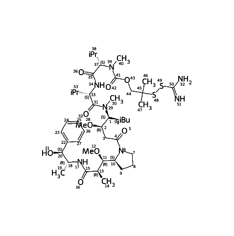 CC[C@H](C)[C@@H]([C@@H](CC(=O)N1CCC[C@H]1[C@H](OC)[C@@H](C)C(=O)N[C@H](C)[C@@H](O)c1ccccc1)OC)N(C)C(=O)[C@@H](NC(=O)[C@H](C(C)C)N(C)C(=O)OCC(C)(C)SSC(=N)N)C(C)C